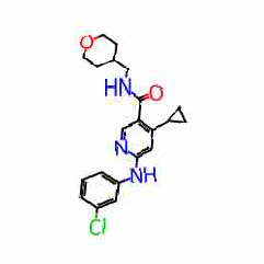 O=C(NCC1CCOCC1)c1cnc(Nc2cccc(Cl)c2)cc1C1CC1